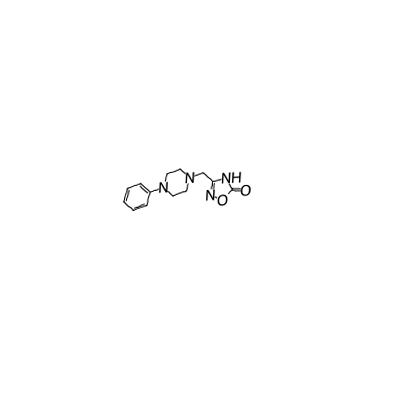 O=c1[nH]c(CN2CCN(c3ccccc3)CC2)no1